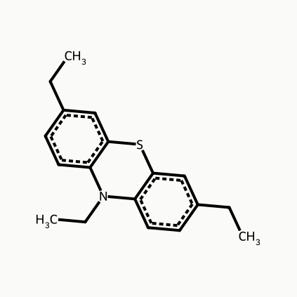 CCc1ccc2c(c1)Sc1cc(CC)ccc1N2CC